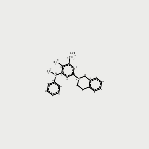 Cc1nc(N2CCc3ccccc3C2)nc(N(C)c2ccccc2)c1C.Cl